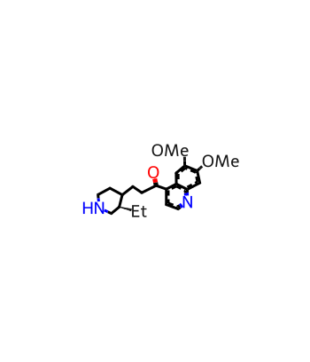 CC[C@H]1CNCCC1CCC(=O)c1ccnc2cc(OC)c(OC)cc12